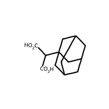 O=C(O)C(C(=O)O)C12CC3CC(CC(C3)C1)C2